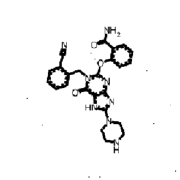 N#Cc1ccccc1Cn1c(Oc2ccccc2C(N)=O)nc2nc(N3CCNCC3)[nH]c2c1=O